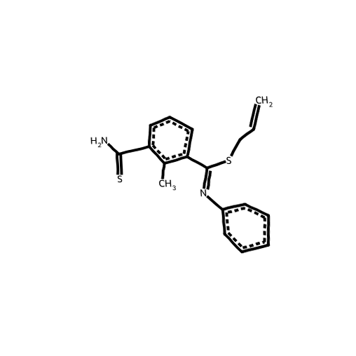 C=CCSC(=Nc1ccccc1)c1cccc(C(N)=S)c1C